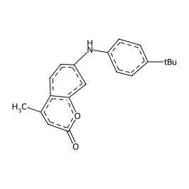 Cc1cc(=O)oc2cc(Nc3ccc(C(C)(C)C)cc3)ccc12